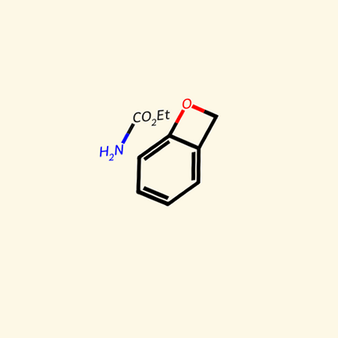 CCOC(N)=O.c1ccc2c(c1)CO2